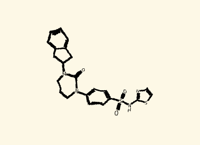 O=C1N(c2ccc(S(=O)(=O)Nc3nccs3)cc2)CCCN1C1Cc2ccccc2C1